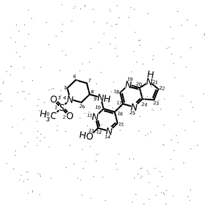 CS(=O)(=O)N1CCCC(Nc2nc(O)ncc2-c2cnc3[nH]ccc3n2)C1